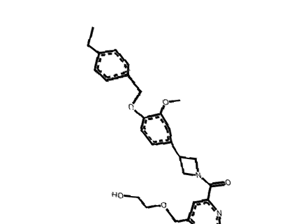 CCc1ccc(COc2ccc(C3CN(C(=O)c4cc(COCCO)ccn4)C3)cc2OC)cc1